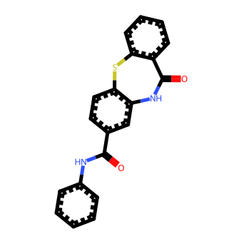 O=C(Nc1ccccc1)c1ccc2c(c1)NC(=O)c1ccccc1S2